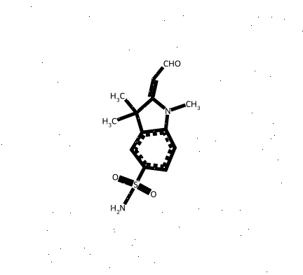 CN1/C(=C\C=O)C(C)(C)c2cc(S(N)(=O)=O)ccc21